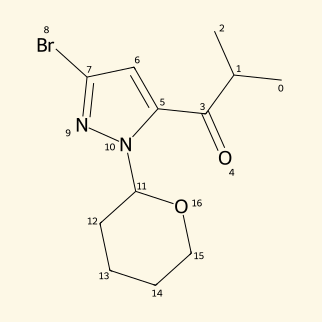 CC(C)C(=O)c1cc(Br)nn1C1CCCCO1